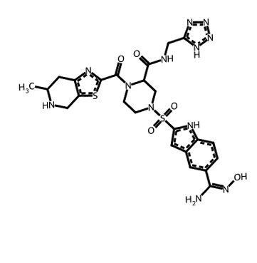 CC1Cc2nc(C(=O)N3CCN(S(=O)(=O)c4cc5cc(/C(N)=N\O)ccc5[nH]4)CC3C(=O)NCc3nnn[nH]3)sc2CN1